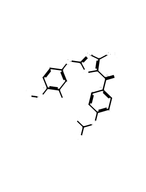 Nc1nc(Nc2ccc(OC(F)(F)F)c(Cl)c2)sc1C(=O)c1ccc(OC(F)F)cc1